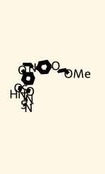 COCCOc1ccc(N2CCOc3cc(S(=O)(=O)Nc4ncns4)ccc32)cc1